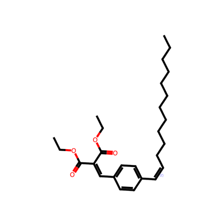 CCCCCCCCCCC/C=C\c1ccc(C=C(C(=O)OCC)C(=O)OCC)cc1